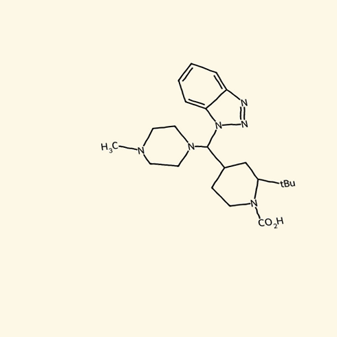 CN1CCN(C(C2CCN(C(=O)O)C(C(C)(C)C)C2)n2nnc3ccccc32)CC1